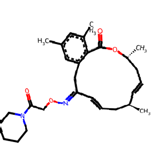 Cc1cc(C)c2c(c1)CC(=N\OCC(=O)N1CCCCC1)/C=C/C[C@H](C)/C=C/C[C@@H](C)OC2=O